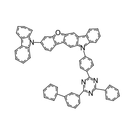 c1ccc(-c2cccc(-c3nc(-c4ccccc4)nc(-c4ccc(-n5c6ccccc6c6cc7oc8cc(-n9c%10ccccc%10c%10ccccc%109)ccc8c7cc65)cc4)n3)c2)cc1